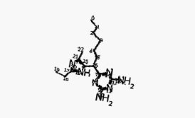 CCCCCCC(c1nc(N)nc(N)n1)c1[nH]c(CC)nc1C